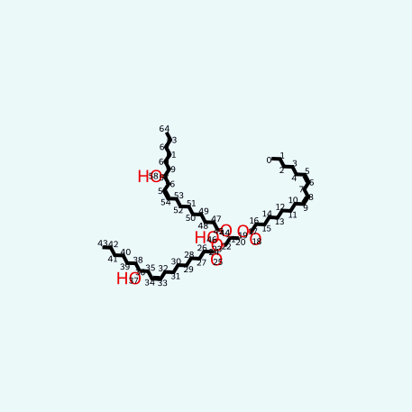 CCCCC/C=C\C/C=C\CCCCCCCC(=O)OCC(COC(=O)CCCCCCC/C=C\CC(O)CCCCCC)OC(O)CCCCCCC/C=C\CC(O)CCCCCC